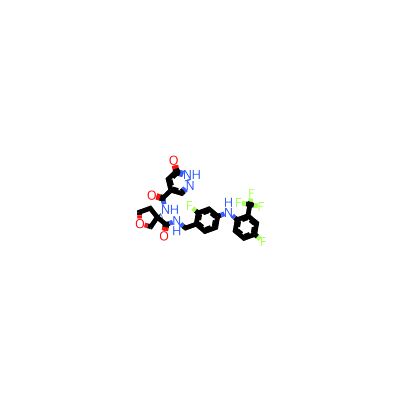 O=C(N[C@@]1(C(=O)NCc2ccc(Nc3ccc(F)cc3C(F)(F)F)cc2F)CCOC1)c1cn[nH]c(=O)c1